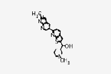 CN1CCC[C@H]([C@H](O)c2cc3ccc(-c4cnc5nn(C)cc5c4)nc3s2)C1